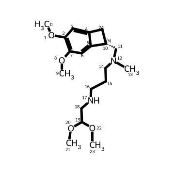 COc1cc2c(cc1OC)[C@@H](CN(C)CCCNCC(OC)OC)C2